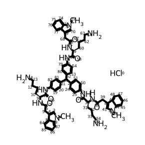 Cl.Cn1cc(CC(=O)N[C@@H](CCCCN)C(=O)Nc2ccc(C(c3ccc(NC(=O)[C@H](CCCCN)NC(=O)Cc4cn(C)c5ccccc45)cc3)c3ccc(NC(=O)[C@H](CCCCN)NC(=O)Cc4cn(C)c5ccccc45)cc3)cc2)c2ccccc21